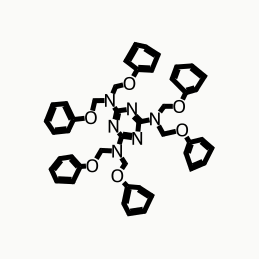 c1ccc(OCN(COc2ccccc2)c2nc(N(COc3ccccc3)COc3ccccc3)nc(N(COc3ccccc3)COc3ccccc3)n2)cc1